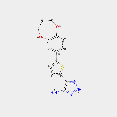 Nc1n[nH]nc1-c1ccc(-c2ccc3c(c2)OCCCO3)s1